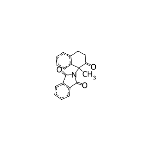 CC1(N2C(=O)c3ccccc3C2=O)C(=O)CCc2ccccc21